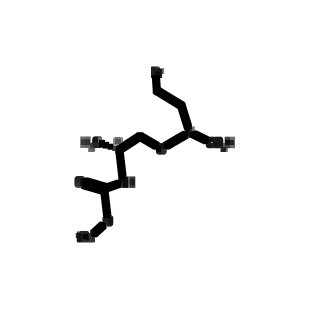 C[C@H](CON(CCBr)C(=O)O)NC(=O)OC(C)(C)C